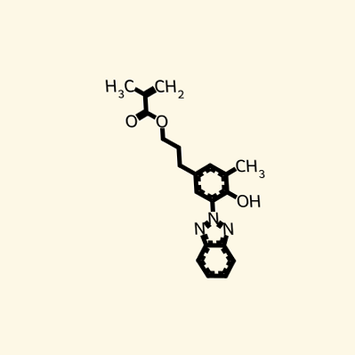 C=C(C)C(=O)OCCCc1cc(C)c(O)c(-n2nc3ccccc3n2)c1